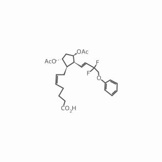 CC(=O)O[C@@H]1C[C@@H](OC(C)=O)[C@H](C/C=C\CCCC(=O)O)[C@@H]1/C=C/C(F)(F)COc1ccccc1